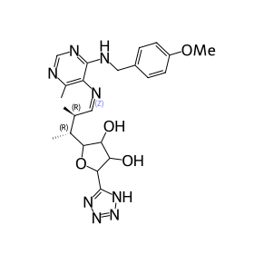 COc1ccc(CNc2ncnc(C)c2/N=C\[C@H](C)[C@@H](C)C2OC(c3nnn[nH]3)C(O)C2O)cc1